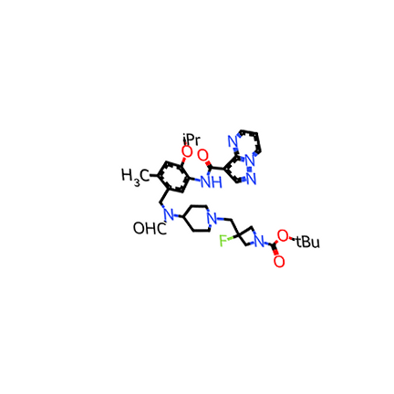 Cc1cc(OC(C)C)c(NC(=O)c2cnn3cccnc23)cc1CN(C=O)C1CCN(CC2(F)CN(C(=O)OC(C)(C)C)C2)CC1